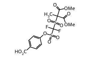 COC(=O)C(C)(C(=O)OC)S(=O)(=O)C(F)(F)S(=O)(=O)Oc1ccc(C(=O)O)cc1